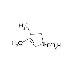 Cc1cn(C(=O)O)cc1C